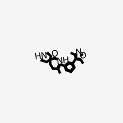 CC1=C(c2cccc(-c3c(C)noc3C)c2)NC(=O)C2(CCNCC2)CC1